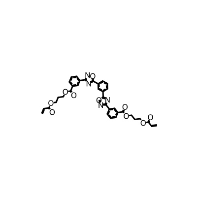 C=CC(=O)OCCCOC(=O)c1cccc(-c2noc(-c3cccc(-c4nc(-c5cccc(C(=O)OCCCOC(=O)C=C)c5)no4)c3)n2)c1